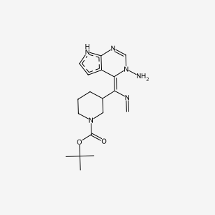 C=N/C(=C1/c2cc[nH]c2N=CN1N)C1CCCN(C(=O)OC(C)(C)C)C1